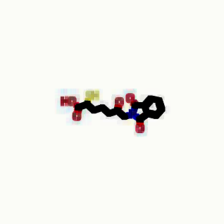 O=C(CCCC(S)C(=O)O)CN1C(=O)c2ccccc2C1=O